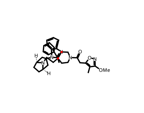 COc1noc(CC(=O)N2CCC(CCN3[C@@H]4CC[C@H]3CC(n3c(C)nc5ccccc53)C4)(c3ccccc3)CC2)c1C